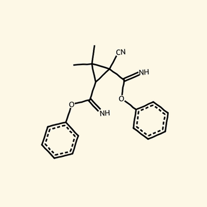 CC1(C)C(C(=N)Oc2ccccc2)C1(C#N)C(=N)Oc1ccccc1